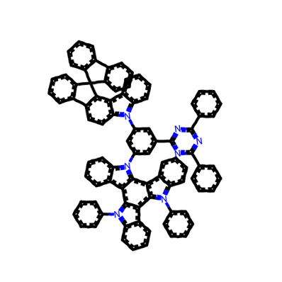 c1ccc(-c2nc(-c3ccccc3)nc(-c3cc(-n4c5ccccc5c5c6c(ccc54)-c4ccccc4C64c5ccccc5-c5ccccc54)cc(-n4c5ccccc5c5c6c(c7ccccc7n6-c6ccccc6)c6c(c7ccccc7n6-c6ccccc6)c54)c3)n2)cc1